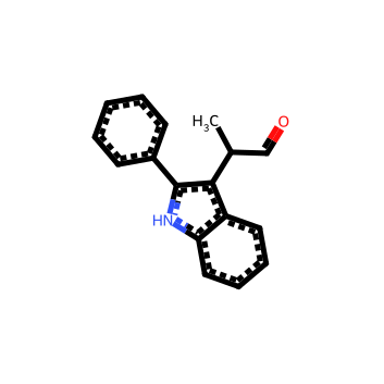 CC(C=O)c1c(-c2ccccc2)[nH]c2ccccc12